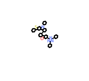 c1ccc(-c2nc(-c3ccccc3)nc(-c3ccc4c(c3)oc3cccc(-c5cccc6c5c5cc7c(cc5n6-c5ccccc5)sc5ccccc57)c34)n2)cc1